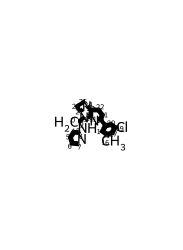 C=C(Nc1ccccn1)N1c2nc(-c3cc(C)cc(Cl)c3)ccc2N2CCC21